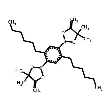 C=C1OB(c2cc(CCCCCC)c(B3OC(=C)C(C)(C)O3)cc2CCCCCC)OC1(C)C